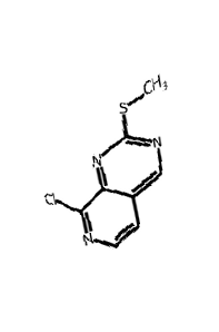 CSc1ncc2ccnc(Cl)c2n1